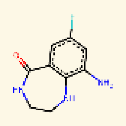 Nc1cc(F)cc2c1NCCNC2=O